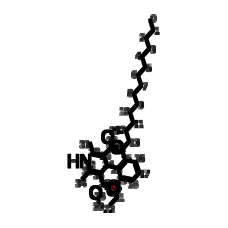 CCCCCCCCCCCCCCCc1cccc(OCC)c1C1C(C(=O)OC)=C(C)NC(C)=C1C(=O)OC